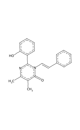 Cc1nc(-c2ccccc2O)n(C=Cc2ccccc2)c(=O)c1C